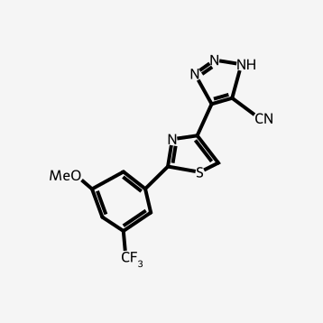 COc1cc(-c2nc(-c3nn[nH]c3C#N)cs2)cc(C(F)(F)F)c1